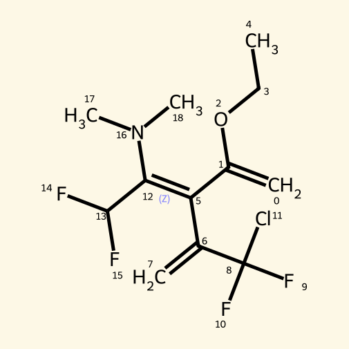 C=C(OCC)/C(C(=C)C(F)(F)Cl)=C(/C(F)F)N(C)C